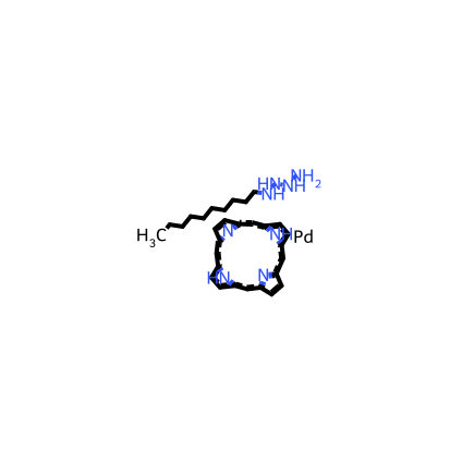 C1=Cc2cc3ccc(cc4nc(cc5ccc(cc1n2)[nH]5)C=C4)[nH]3.CCCCCCCCCCNNNN.[Pd]